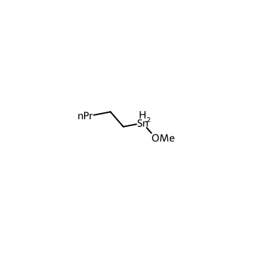 CCCC[CH2][SnH2][O]C